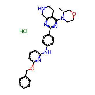 C[C@H]1COCCN1c1nc(-c2ccc(Nc3cccc(OCc4ccccc4)n3)cc2)nc2c1CCNC2.Cl